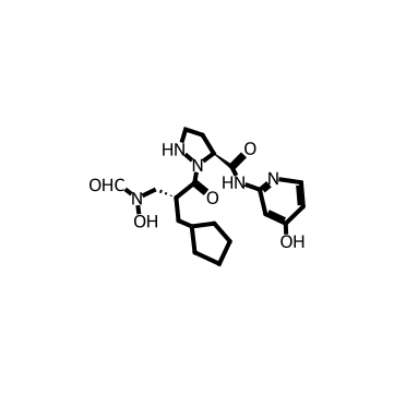 O=CN(O)C[C@@H](CC1CCCC1)C(=O)N1NCC[C@H]1C(=O)Nc1cc(O)ccn1